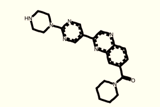 O=C(c1ccc2ncc(-c3cnc(N4CCNCC4)nc3)nc2c1)N1CCCCC1